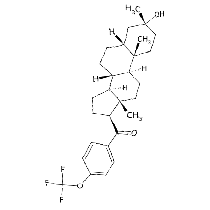 C[C@@]1(O)CC[C@@]2(C)[C@H](CC[C@@H]3[C@@H]2CC[C@]2(C)[C@@H](C(=O)c4ccc(OC(F)(F)F)cc4)CC[C@@H]32)C1